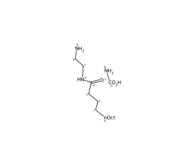 CCCCCCCCCCCC(=O)NCCN.NC(=O)O